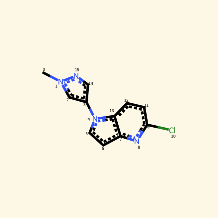 Cn1cc(-n2ccc3nc(Cl)ccc32)cn1